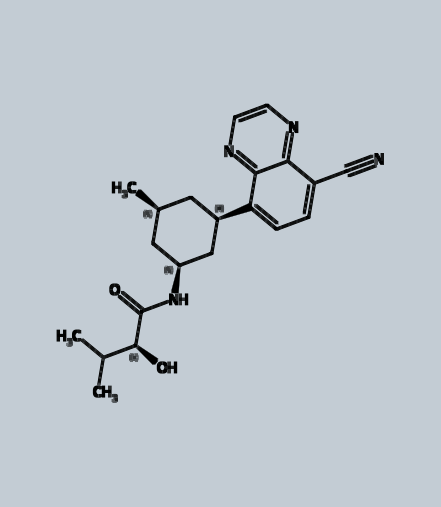 CC(C)[C@H](O)C(=O)N[C@H]1C[C@@H](C)C[C@@H](c2ccc(C#N)c3nccnc23)C1